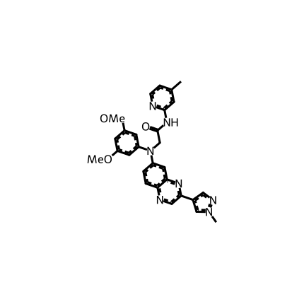 COc1cc(OC)cc(N(CC(=O)Nc2cc(C)ccn2)c2ccc3ncc(-c4cnn(C)c4)nc3c2)c1